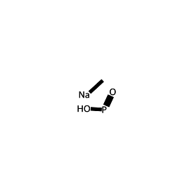 O=PO.[CH3][Na]